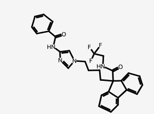 O=C(Nc1cn(CCCCC2(C(=O)NCC(F)(F)F)c3ccccc3-c3ccccc32)cn1)c1ccccc1